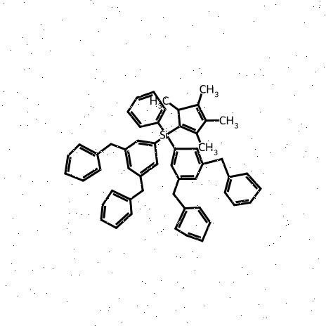 CC1=C(C)C(C)C([Si](c2ccccc2)(c2cc(Cc3ccccc3)cc(Cc3ccccc3)c2)c2cc(Cc3ccccc3)cc(Cc3ccccc3)c2)=C1C